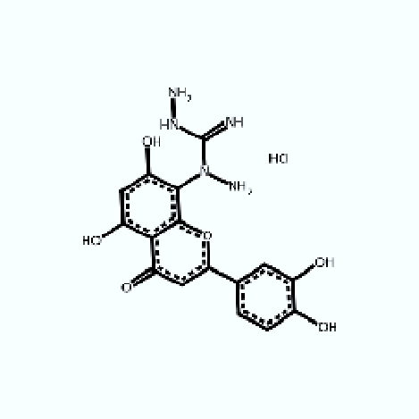 Cl.N=C(NN)N(N)c1c(O)cc(O)c2c(=O)cc(-c3ccc(O)c(O)c3)oc12